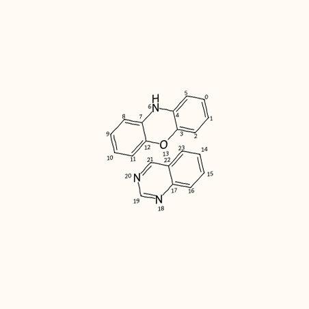 c1ccc2c(c1)Nc1ccccc1O2.c1ccc2ncncc2c1